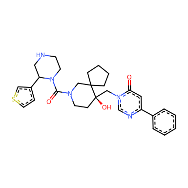 O=C(N1CC[C@@](O)(Cn2cnc(-c3ccccc3)cc2=O)C2(CCCC2)C1)N1CCNCC1c1ccsc1